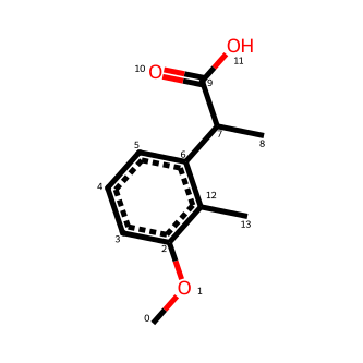 COc1cccc(C(C)C(=O)O)c1C